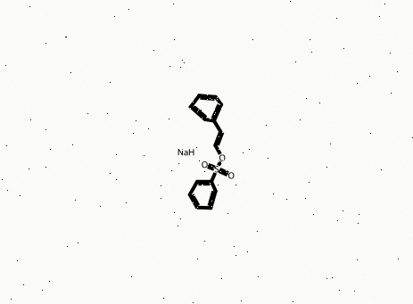 O=S(=O)(OC=Cc1ccccc1)c1ccccc1.[NaH]